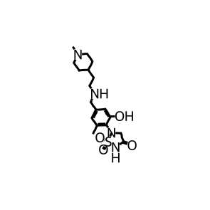 Cc1cc(CNCCC2CCN(C)CC2)cc(O)c1N1CC(=O)NS1(=O)=O